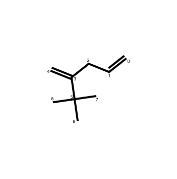 C=CCC(=C)C(C)(C)C